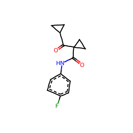 O=C(Nc1ccc(F)cc1)C1(C(=O)C2CC2)CC1